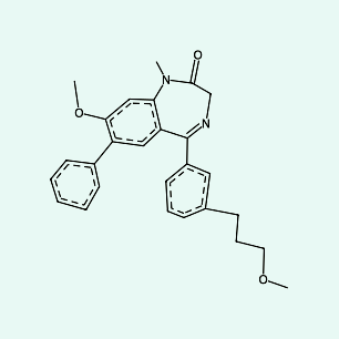 COCCCc1cccc(C2=NCC(=O)N(C)c3cc(OC)c(-c4ccccc4)cc32)c1